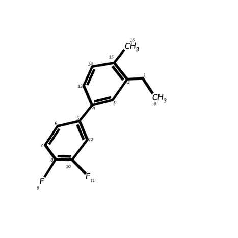 CCc1cc(-c2ccc(F)c(F)c2)ccc1C